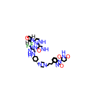 Cn1c(=O)n(C2CCC(=O)NC2=O)c2cccc(CCCN3CCN(C[C@H]4CC[C@H](N/C=C(/NC(=O)/C(C=N)=C5\N=C(N6C[C@H]7C[C@@H]6CO7)C=CN5)C(=N)C(F)F)CC4)CC3)c21